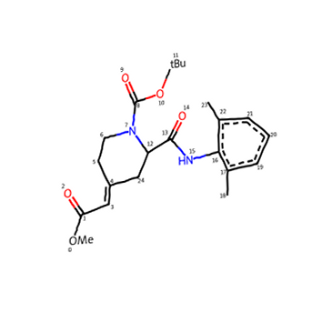 COC(=O)C=C1CCN(C(=O)OC(C)(C)C)C(C(=O)Nc2c(C)cccc2C)C1